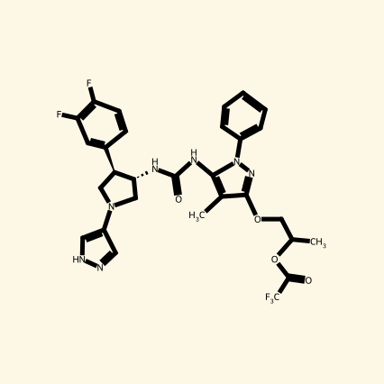 Cc1c(OCC(C)OC(=O)C(F)(F)F)nn(-c2ccccc2)c1NC(=O)N[C@@H]1CN(c2cn[nH]c2)C[C@H]1c1ccc(F)c(F)c1